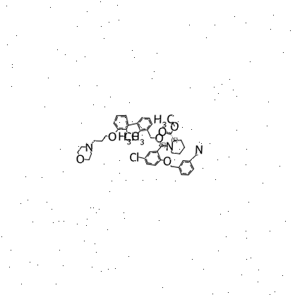 COC(=O)[C@@H]1CCCCN1[C@@H](OCc1cccc(-c2cccc(OCCCN3CCOCC3)c2C)c1C)c1cc(Cl)ccc1OCc1cccc(C#N)c1